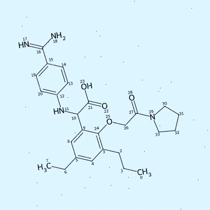 CCCc1cc(CC)cc(C(Nc2ccc(C(=N)N)cc2)C(=O)O)c1OCC(=O)N1CCCC1